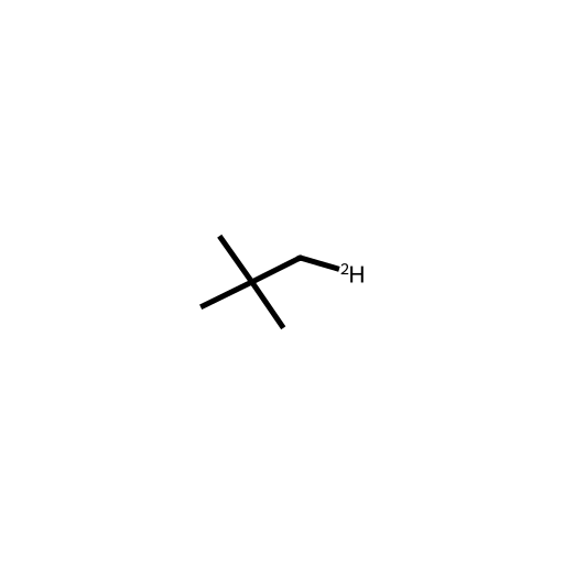 [2H]CC(C)(C)C